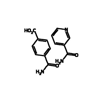 NC(=O)c1ccc(C(=O)O)cc1.NC(=O)c1cccnc1